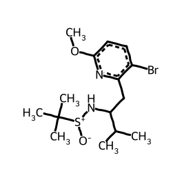 COc1ccc(Br)c(CC(N[S+]([O-])C(C)(C)C)C(C)C)n1